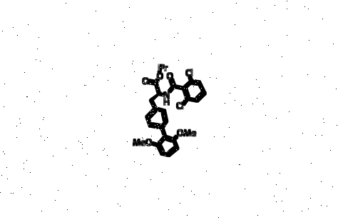 COc1cccc(OC)c1-c1ccc(C[C@H](NC(=O)c2c(Cl)cccc2Cl)C(=O)OC(C)C)cc1